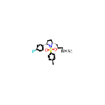 CC(=O)NCCC[C@H]1CC[C@@H](c2ccc(F)cc2)N1S(=O)(=O)c1ccc(C)cc1